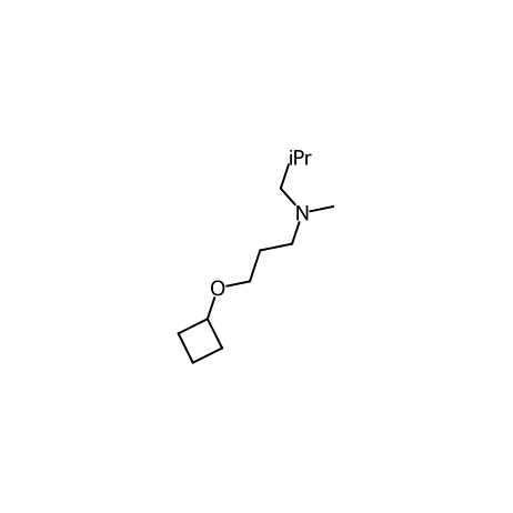 CC(C)CN(C)CCCOC1CCC1